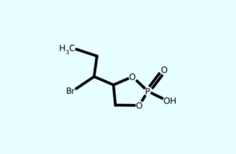 CCC(Br)C1COP(=O)(O)O1